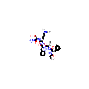 CCN(CCCC[C@H](NC(=O)[C@H](CC1CCCCC1)NC(=O)[C@H](C)NC(=O)[C@H](Cc1ccccc1)NC(=O)CC(C)C)C(=O)N[C@@H](CO)C(N)=O)C(C)C